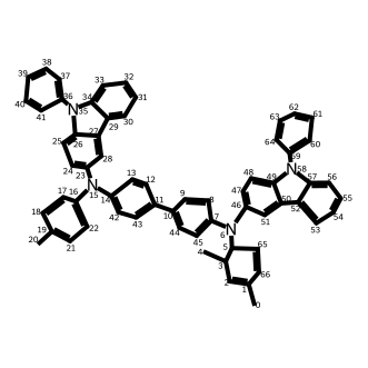 CC1=CC(C)C(N(c2ccc(-c3ccc(N(c4ccc(C)cc4)c4ccc5c(c4)c4ccccc4n5-c4ccccc4)cc3)cc2)c2ccc3c(c2)c2ccccc2n3-c2ccccc2)C=C1